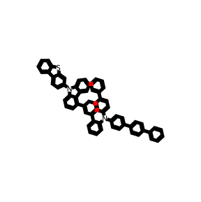 C1=C(c2ccccc2N(c2ccc(-c3ccccc3)cc2)c2ccc(-c3ccc(-c4ccccc4)cc3)cc2)C=C(c2cccc3c2c2ccccc2n3-c2ccc3c(c2)sc2ccccc23)CC1